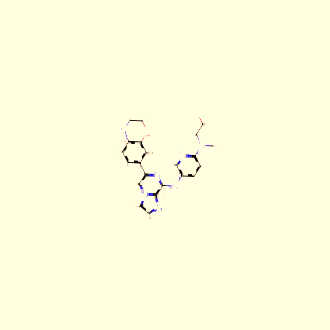 CN(CCO)c1ccc(Nc2nc(-c3ccc4c(c3)OCCN4)cn3ccnc23)cn1